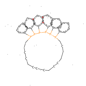 c1ccc(P2CCCCCCCCCCCCCCCP(c3ccccc3)P(c3ccccc3)P(c3ccccc3)P(c3ccccc3)P2c2ccccc2)cc1